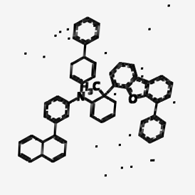 CC1(c2cccc3c2oc2c(-c4ccccc4)cccc23)CC=CC=C1N(C1=CCC(c2ccccc2)C=C1)c1cccc(C2=CC=CC3C=CC=CC23)c1